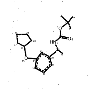 CC(NC(=O)OC(C)(C)C)c1cccc(OC2CCCC2)c1